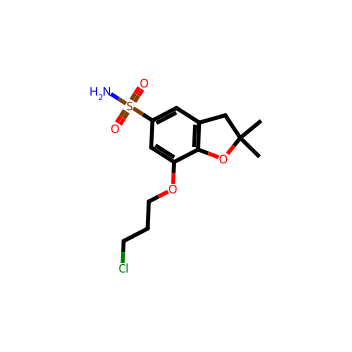 CC1(C)Cc2cc(S(N)(=O)=O)cc(OCCCCl)c2O1